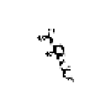 CC(C)COc1ccnc(OC(=O)NC(=O)CN)c1O